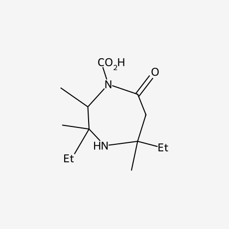 CCC1(C)CC(=O)N(C(=O)O)C(C)C(C)(CC)N1